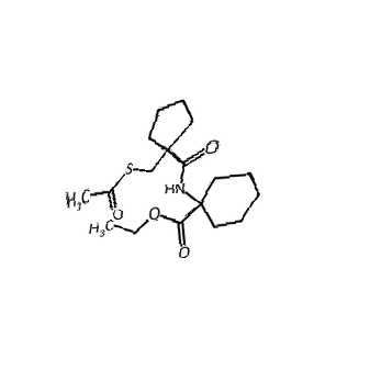 CCOC(=O)C1(NC(=O)C2(CSC(C)=O)CCCC2)CCCCC1